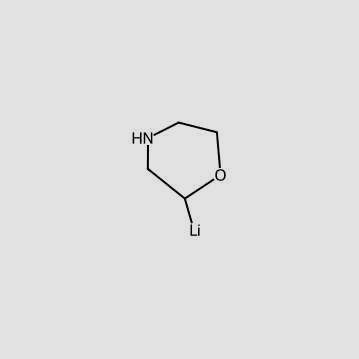 [Li][CH]1CNCCO1